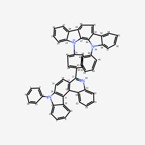 c1ccc(-n2c3ccccc3c3c4c(ccc32)c(-c2ccc(-n3c5ccccc5c5ccc6c7ccccc7n(-c7ccccc7)c6c53)cc2)nc2ccccc24)cc1